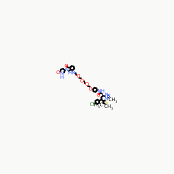 Cc1sc2c(c1C)C(c1ccc(Cl)cc1)=C[C@@H](CC(=O)Nc1ccc(OCCOCCOCCOCCNc3cccc4c3CN([C@H]3CCC(=O)NC3)C4=O)cc1)c1nnc(C)n1-2